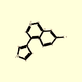 Ic1ccc2c(-c3ccoc3)cncc2c1